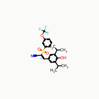 CC(C)c1cc(/C=C(/C#N)S(=O)(=O)c2cccc(OC(F)(F)F)c2)cc(C(C)C)c1O